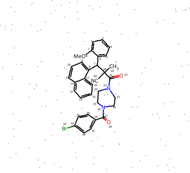 COc1ccccc1C(c1cccc2ccccc12)C(C)(C#N)C(=O)N1CCN(C(=O)c2ccc(Br)cc2)CC1